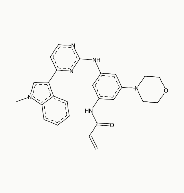 C=CC(=O)Nc1cc(Nc2nccc(-c3cn(C)c4ccccc34)n2)cc(N2CCOCC2)c1